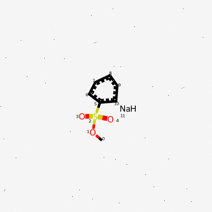 COS(=O)(=O)c1ccccc1.[NaH]